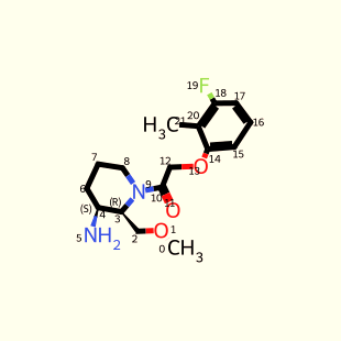 COC[C@H]1[C@@H](N)CCCN1C(=O)COc1cccc(F)c1C